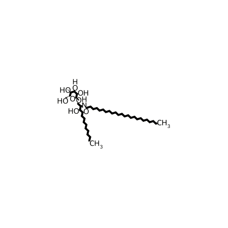 CCCCCCCCCCCCCCCCCCCCCCCC(=O)NC(CO[C@H]1O[C@H](CO)[C@H](O)[C@H](O)[C@H]1O)C(O)CCCCCCCCCCC